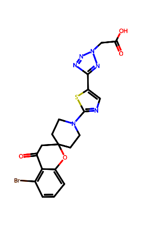 O=C(O)Cn1nnc(-c2cnc(N3CCC4(CC3)CC(=O)c3c(Br)cccc3O4)s2)n1